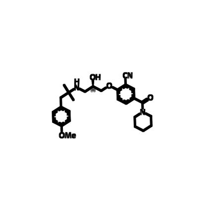 COc1ccc(CC(C)(C)NC[C@@H](O)COc2ccc(C(=O)N3CCCCC3)cc2C#N)cc1